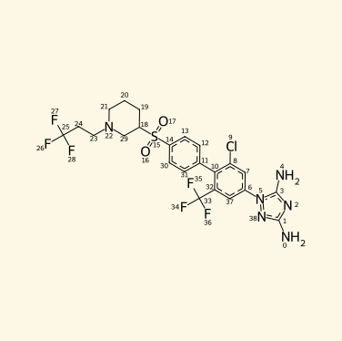 Nc1nc(N)n(-c2cc(Cl)c(-c3ccc(S(=O)(=O)C4CCCN(CCC(F)(F)F)C4)cc3)c(C(F)(F)F)c2)n1